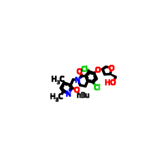 CCCCOc1nc(C)cc(C)c1CN1CCc2c(Cl)cc(O[C@H]3CO[C@@H](CO)C3)c(Cl)c2C1=O